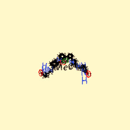 COc1nc(-c2cccc(-c3cccc(N4Cc5ccc(CNC[C@H]6CCC(=O)N6)cc5C4=O)c3Cl)c2Cl)ccc1CNC[C@H]1CCC(=O)N1